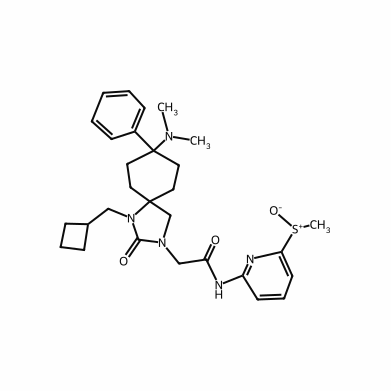 CN(C)C1(c2ccccc2)CCC2(CC1)CN(CC(=O)Nc1cccc([S+](C)[O-])n1)C(=O)N2CC1CCC1